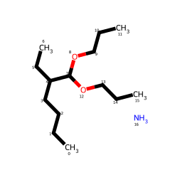 CCCCC(CC)C(OCCC)OCCC.N